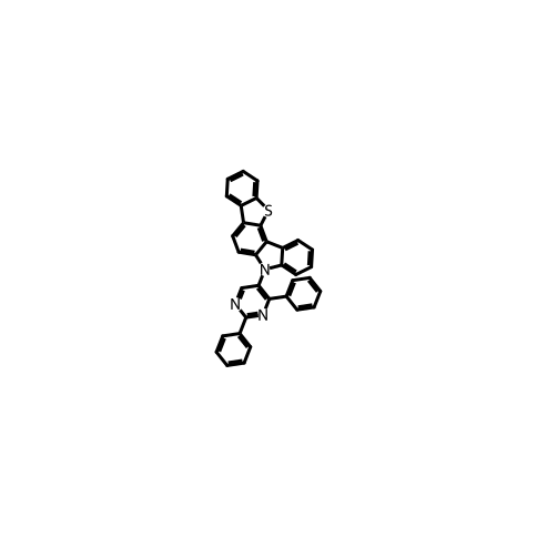 c1ccc(-c2ncc(-n3c4ccccc4c4c5sc6ccccc6c5ccc43)c(-c3ccccc3)n2)cc1